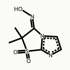 CC1(C)/C(=N\O)n2ccnc2S1(=O)=O